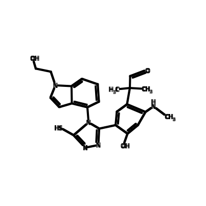 CNc1cc(O)c(-c2nnc(S)n2-c2cccc3c2ccn3CCO)cc1C(C)(C)C=O